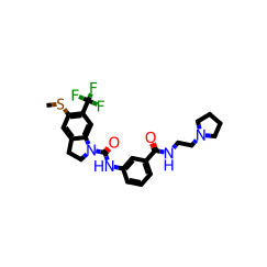 CSc1cc2c(cc1C(F)(F)F)N(C(=O)Nc1cccc(C(=O)NCCN3CCCC3)c1)CC2